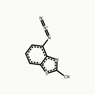 N#Cc1nc2c(N=[N+]=[N-])cccc2s1